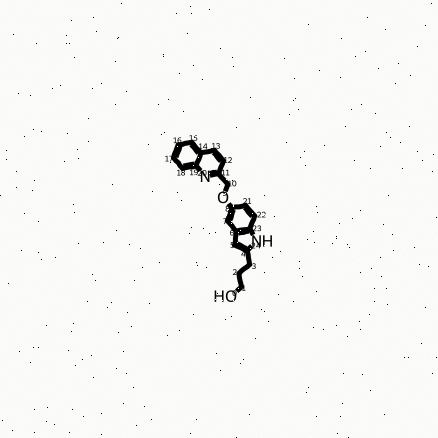 OCCCc1cc2cc(OCc3ccc4ccccc4n3)ccc2[nH]1